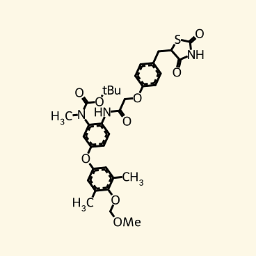 COCOc1c(C)cc(Oc2ccc(NC(=O)COc3ccc(CC4SC(=O)NC4=O)cc3)c(N(C)C(=O)OC(C)(C)C)c2)cc1C